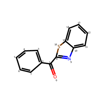 O=C(c1ccccc1)c1nc2ccccc2s1